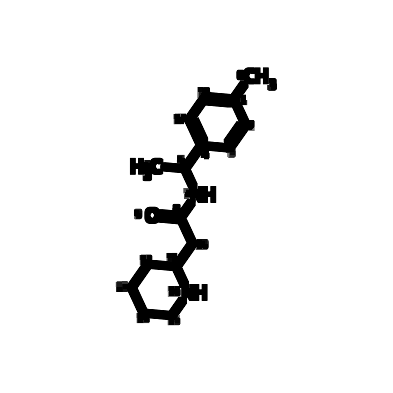 Cc1ccc(C(C)NC(=O)CC2CCCCN2)cc1